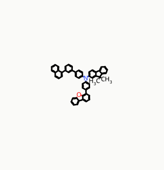 CC1(C)c2ccccc2-c2ccc(N(c3ccc(-c4cccc(-c5cccc6ccccc56)c4)cc3)c3ccc(-c4cccc5c4oc4ccccc45)cc3)cc21